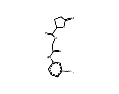 Nc1cccc(NC(=O)CNC(=O)C2CCC(=O)S2)c1